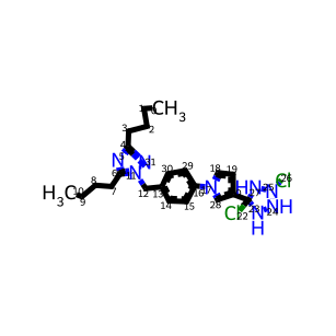 CCCCc1nc(CCCC)n(Cc2ccc(-n3ccc(C4(Cl)NNN(Cl)N4)c3)cc2)n1